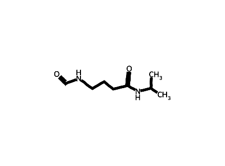 CC(C)NC(=O)CCCN[C]=O